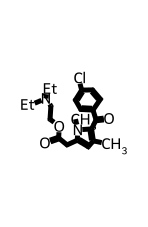 CCN(CC)CCOC(=O)Cc1cc(C)c(C(=O)c2ccc(Cl)cc2)n1C